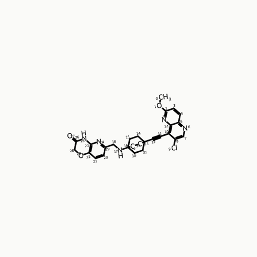 COc1ccc2ncc(Cl)c(C#CC34CCC(NCc5ccc6c(n5)NC(=O)CO6)(CC3)CC4)c2n1